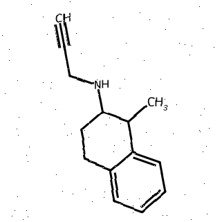 C#CCNC1CCc2ccccc2C1C